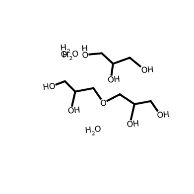 O.O.O.OCC(O)CO.OCC(O)COCC(O)CO